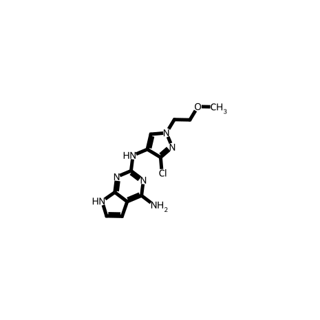 COCCn1cc(Nc2nc(N)c3cc[nH]c3n2)c(Cl)n1